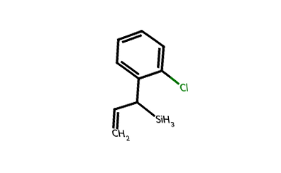 C=CC([SiH3])c1ccccc1Cl